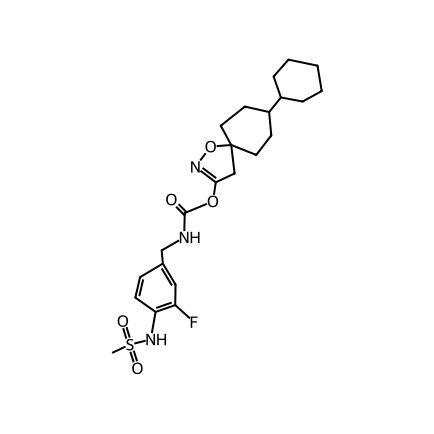 CS(=O)(=O)Nc1ccc(CNC(=O)OC2=NOC3(CCC(C4CCCCC4)CC3)C2)cc1F